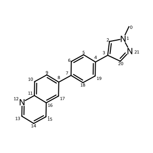 Cn1cc(-c2ccc(-c3ccc4ncc[c]c4c3)cc2)cn1